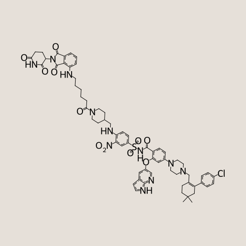 CC1(C)CCC(CN2CCN(c3ccc(C(=O)NS(=O)(=O)c4ccc(NCC5CCN(C(=O)CCCCCNc6cccc7c6C(=O)N(C6CCC(=O)NC6=O)C7=O)CC5)c([N+](=O)[O-])c4)c(Oc4cnc5[nH]ccc5c4)c3)CC2)=C(c2ccc(Cl)cc2)C1